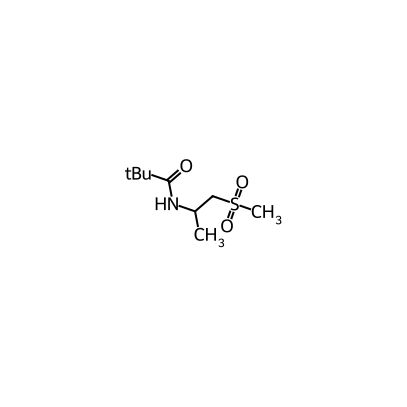 CC(CS(C)(=O)=O)NC(=O)C(C)(C)C